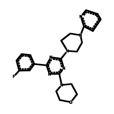 Fc1cccc(-c2nc(N3CCOCC3)nc(N3CCN(c4ccccn4)CC3)n2)c1